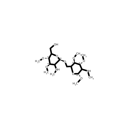 CNC1[C@H](OC)OC(CO[C@@H]2OC(CO)[C@@H](OC)[C@H](OC)C2NC)[C@@H](OC)[C@@H]1OC